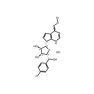 CCO/N=c1\nc[nH]c2c1ccn2[C@@H]1O[C@H](C(O)c2ccc(Cl)cc2)[C@@H](O)[C@H]1O.Cl